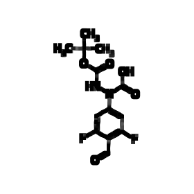 CC(C)(C)OC(=O)NN(C(=O)O)c1cc(F)c(C=O)c(F)c1